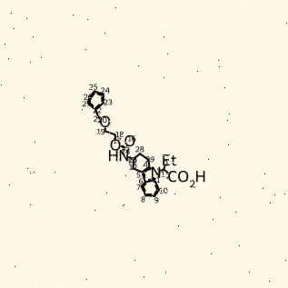 CCC(C(=O)O)n1c2c(c3ccccc31)C[C@@H](NC(=O)OCCOCc1ccccc1)CC2